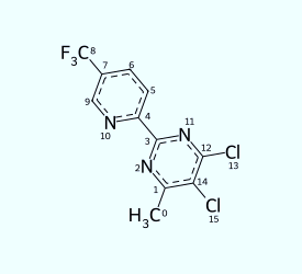 Cc1nc(-c2ccc(C(F)(F)F)cn2)nc(Cl)c1Cl